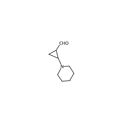 O=CC1CC1N1CC[CH]CC1